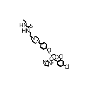 CCNC(=S)NCCN1CCN(c2ccc(OC[C@@H]3CO[C@@](Cn4ccnc4)(c4ccc(Cl)cc4Cl)O3)cc2)CC1